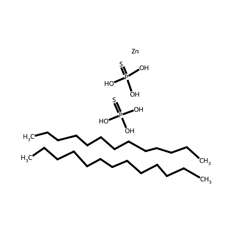 CCCCCCCCCCCCC.CCCCCCCCCCCCC.OP(O)(O)=S.OP(O)(O)=S.[Zn]